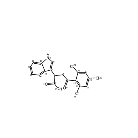 O=C(CC(C(=O)O)c1c[nH]c2ccccc12)c1c(Cl)cc(Cl)cc1Cl